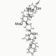 C#C[C@]1(O)CC[C@H]2[C@@H]3CCc4cc(OC)c(N5CCN(C(O)[C@@H]6CCCN6C(=O)c6ccc7ccccc7n6)CC5)cc4[C@H]3CC[C@@]21C